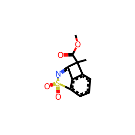 COC(=O)C1(C)C2=NS(=O)(=O)c3cccc1c32